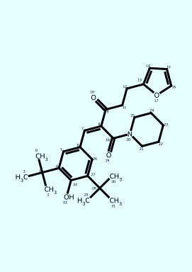 CC(C)(C)c1cc(C=C(C(=O)CCc2ccco2)C(=O)N2CCCCC2)cc(C(C)(C)C)c1O